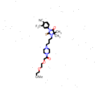 COCCOCCOCC(=O)N1CCN(CCCCN2C(=S)N(c3ccc(C#N)c(C(F)(F)F)c3)C(=O)C2(C)C)CC1